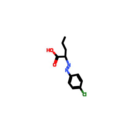 CCCC(/N=N/c1ccc(Cl)cc1)C(=O)O